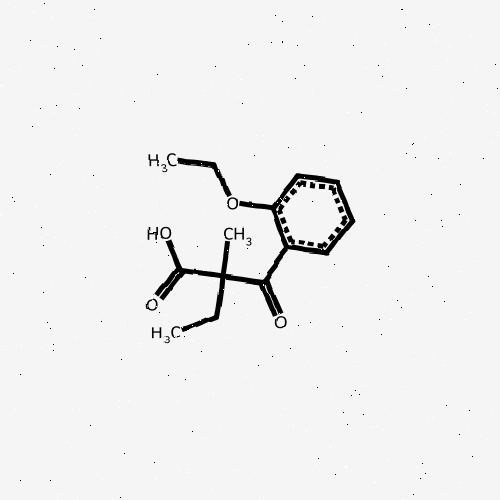 CCOc1ccccc1C(=O)C(C)(CC)C(=O)O